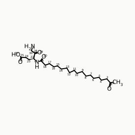 CC(=O)CCCCCCCCCCCCCCCCC(=O)N[C@@H](CCC(=O)O)C(=O)CN